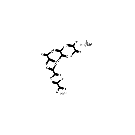 N.N.O=C([O-])C(=O)[O-].O=C([O-])C(=O)[O-].O=C([O-])C(=O)[O-].O=C([O-])C(=O)[O-].O=C([O-])C(=O)[O-].[Nb+5].[Nb+5]